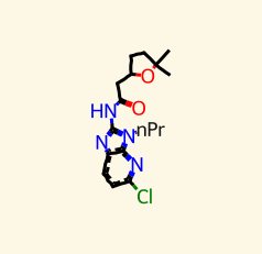 CCCn1c(NC(=O)CC2CCC(C)(C)O2)nc2ccc(Cl)nc21